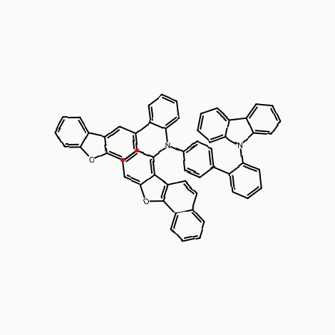 c1ccc(N(c2ccc(-c3ccccc3-n3c4ccccc4c4ccccc43)cc2)c2cccc3oc4c5ccccc5ccc4c23)c(-c2ccc3oc4ccccc4c3c2)c1